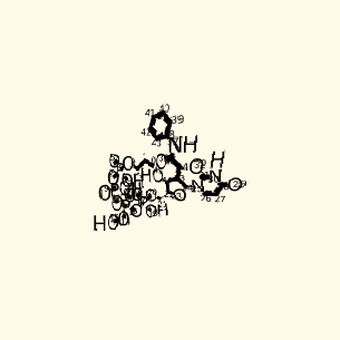 CCCOP(=O)(O)OP(=O)(O)OP(=O)(OO)OP(=O)(O)OC[C@H]1O[C@@H](n2ccc(=O)[nH]c2=O)C(CC(=O)Nc2ccccc2)[C@H]1O